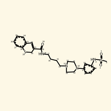 CS(=O)(=O)Nc1cccc(N2CCN(CCCCNC(=O)C3=Cc4ccccc4SC3)CC2)c1